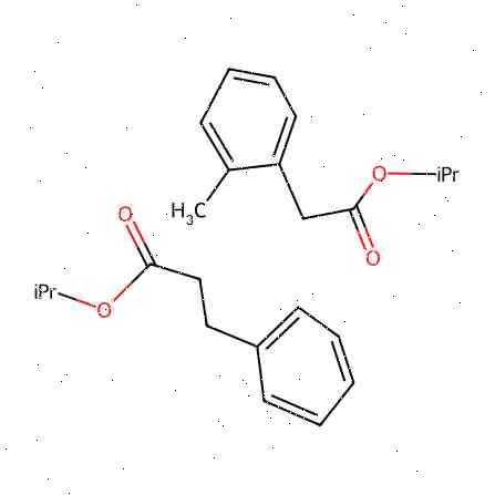 CC(C)OC(=O)CCc1ccccc1.Cc1ccccc1CC(=O)OC(C)C